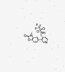 Cn1c(=O)oc2ccc(-c3cnccc3CNS(=O)(=O)C(F)(F)F)cc21